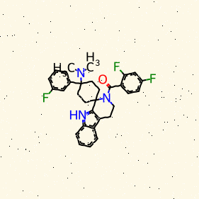 CN(C)C1(c2cccc(F)c2)CCC2(CC1)c1[nH]c3ccccc3c1CCN2C(=O)c1ccc(F)cc1F